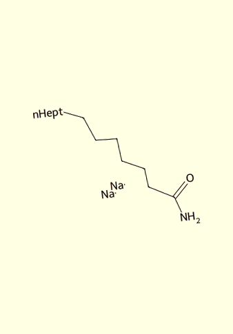 CCCCCCCCCCCCCC(N)=O.[Na].[Na]